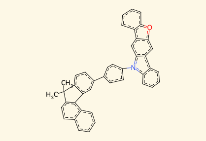 CC1(C)c2ccc(-c3ccc(-n4c5ccccc5c5cc6oc7ccccc7c6cc54)cc3)cc2-c2c1ccc1ccccc21